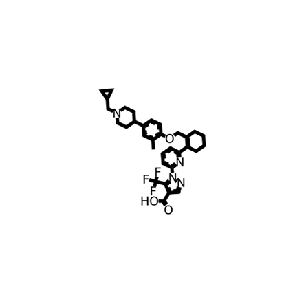 Cc1cc(C2CCN(CC3CC3)CC2)ccc1OCC1=C(c2cccc(-n3ncc(C(=O)O)c3C(F)(F)F)n2)CCCC1